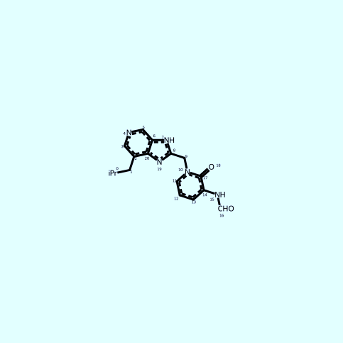 CC(C)Cc1cncc2[nH]c(Cn3cccc(NC=O)c3=O)nc12